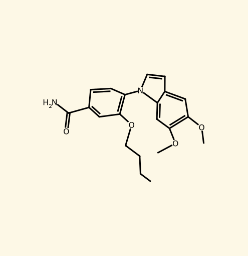 CCCCOc1cc(C(N)=O)ccc1-n1ccc2cc(OC)c(OC)cc21